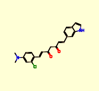 CN(C)c1ccc(C=CC(=O)CC(=O)C=Cc2ccc3cc[nH]c3c2)c(Cl)c1